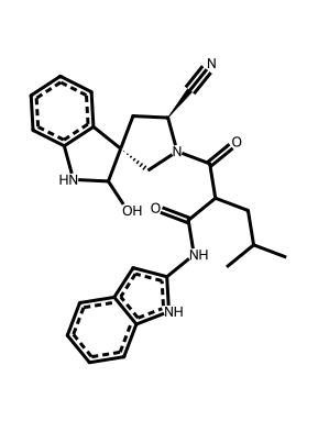 CC(C)CC(C(=O)Nc1cc2ccccc2[nH]1)C(=O)N1C[C@@]2(C[C@H]1C#N)c1ccccc1NC2O